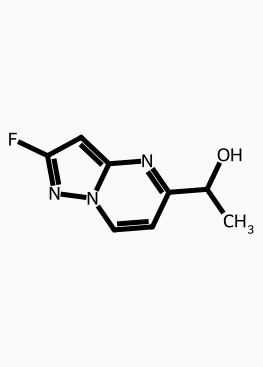 CC(O)c1ccn2nc(F)cc2n1